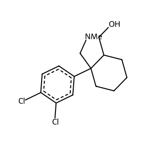 CNCC1(c2ccc(Cl)c(Cl)c2)CCCCC1CO